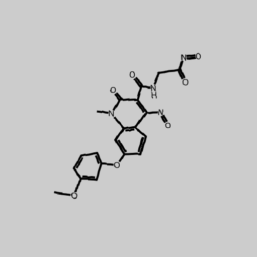 COc1cccc(Oc2ccc3c(N=O)c(C(=O)NCC(=O)N=O)c(=O)n(C)c3c2)c1